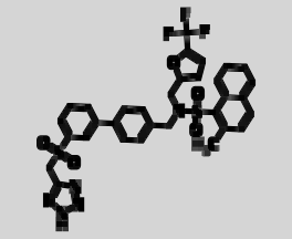 Cc1ccc2ccccc2c1S(=O)(=O)N(Cc1ccc(-c2cccc(S(=O)(=O)Cc3nn[nH]n3)c2)cc1)Cc1ccc(C(F)(F)F)o1